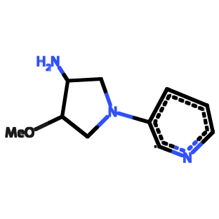 COC1CN(c2[c]nccc2)CC1N